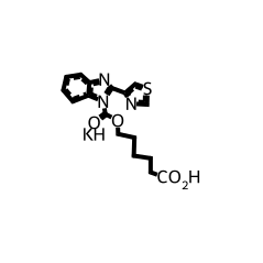 O=C(O)CCCCCOC(=O)n1c(-c2cscn2)nc2ccccc21.[KH]